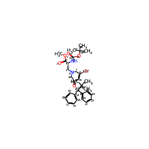 COC(=O)[C@H](CN1CC(Br)=CC(O[Si](c2ccccc2)(c2ccccc2)C(C)(C)C)C1)NC(=O)OC(C)(C)C